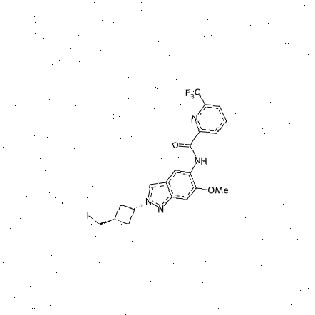 COc1cc2nn([C@H]3C[C@H](CI)C3)cc2cc1NC(=O)c1cccc(C(F)(F)F)n1